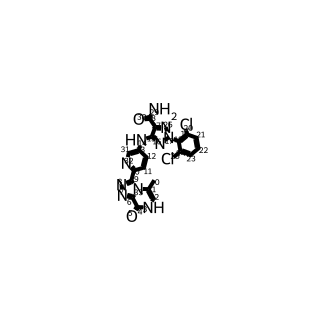 Cc1c[nH]c(=O)c2nnc(-c3ccc(Nc4nn(-c5c(Cl)cccc5Cl)nc4C(N)=O)cn3)n12